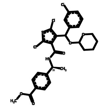 COC(=O)c1ccc([C@H](C)NC(=O)c2c(Cl)sc(Cl)c2C(OC2CCCCO2)c2cccc(Cl)c2)cc1